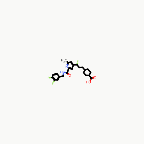 Cc1cc(C(F)CCC2CCC(C(=O)O)CC2)cc(C(=O)NCc2ccc(F)c(F)c2)n1